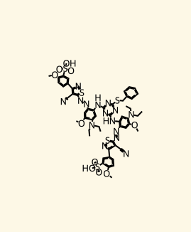 CCN(CC)c1cc(Nc2nc(Nc3cc(N(CC)CC)c(OC)cc3/N=N/c3snc(-c4ccc(OC)c(S(=O)(=O)O)c4)c3C#N)nc(SCc3ccccc3)n2)c(/N=N/c2snc(-c3ccc(OC)c(S(=O)(=O)O)c3)c2C#N)cc1OC